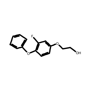 OCCOc1ccc(Oc2ccccc2)c(F)c1